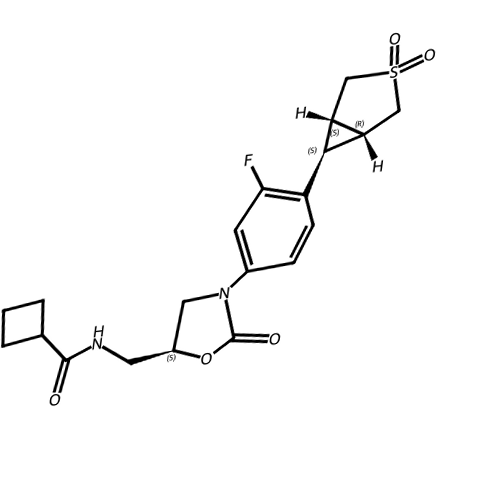 O=C(NC[C@H]1CN(c2ccc([C@H]3[C@@H]4CS(=O)(=O)C[C@@H]43)c(F)c2)C(=O)O1)C1CCC1